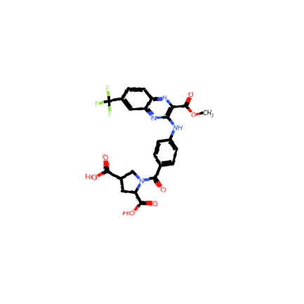 COC(=O)c1nc2ccc(C(F)(F)F)cc2nc1Nc1ccc(C(=O)N2CC(C(=O)O)CC2C(=O)O)cc1